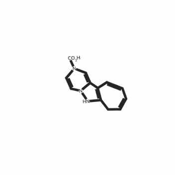 O=C(O)N1C=CN2NC3=C(C=CC=CC3)C2=C1